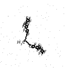 CC(CCCCCOc1ccc(-c2cc(F)c(C(F)(F)Oc3cc(F)c(F)c(F)c3)c(F)c2)c(F)c1)CCCCCOc1ccc(-c2cc(F)c(C(F)(F)Oc3cc(F)c(F)c(F)c3)c(F)c2)c(F)c1